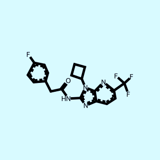 O=C(Cc1ccc(F)cc1)Nc1nc2ccc(C(F)(F)F)nc2n1C1CCC1